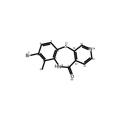 Cc1c(Br)ccc2c1NC(=O)c1ccncc1S2